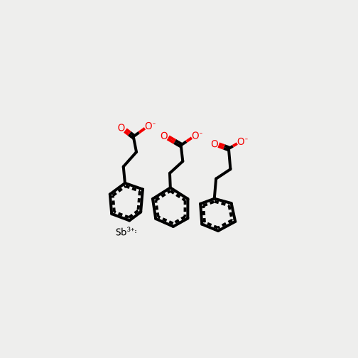 O=C([O-])CCc1ccccc1.O=C([O-])CCc1ccccc1.O=C([O-])CCc1ccccc1.[Sb+3]